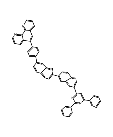 c1ccc(-c2cc(-c3ccc4ccc(-c5ccc6ccc(-c7ccc(-c8cc9cccnc9c9ncccc89)cc7)cc6n5)cc4n3)nc(-c3ccccc3)n2)cc1